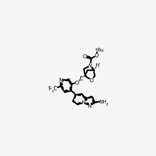 CC(C)(C)OC(=O)N1C[C@@]2(COc3cnc(C(F)(F)F)cc3-c3ccn4nc(N)cc4c3)C[C@@H]1CO2